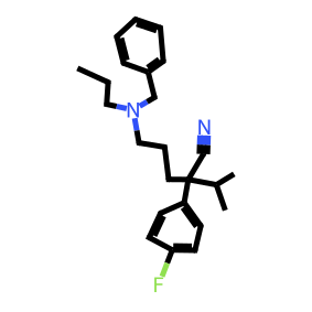 CCCN(CCCC(C#N)(c1ccc(F)cc1)C(C)C)Cc1ccccc1